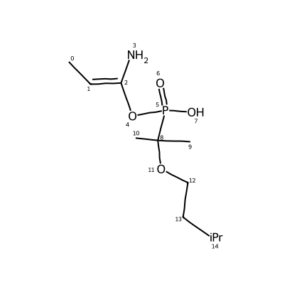 CC=C(N)OP(=O)(O)C(C)(C)OCCC(C)C